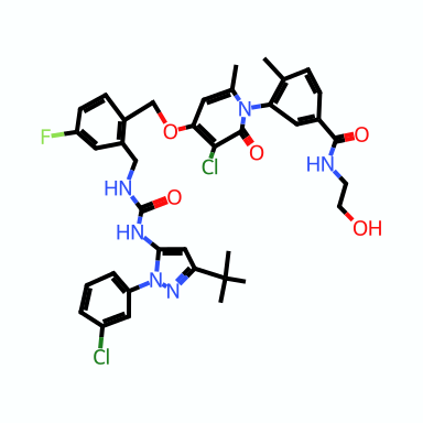 Cc1ccc(C(=O)NCCO)cc1-n1c(C)cc(OCc2ccc(F)cc2CNC(=O)Nc2cc(C(C)(C)C)nn2-c2cccc(Cl)c2)c(Cl)c1=O